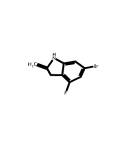 C=C1Cc2c(F)cc(Br)cc2N1